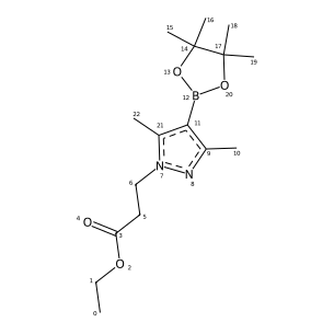 CCOC(=O)CCn1nc(C)c(B2OC(C)(C)C(C)(C)O2)c1C